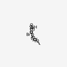 CC=CCOc1c(C)c(C)c2c(c1C)CCC(C)(COc1ccc(C=C3SC(=O)NC3=O)cc1Br)O2